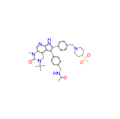 CC(=O)NCc1ccc(-c2c(-c3ccc(CN4CCC(S(C)(=O)=O)CC4)cc3)[nH]c3ncc4c(c23)CN(C(C)(C)C)C(=O)N4C)cc1